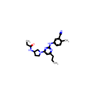 CCCc1cc(N2CCC(NC(=O)CC)C2)nc(Nc2ccc(C)c(C#N)c2)n1